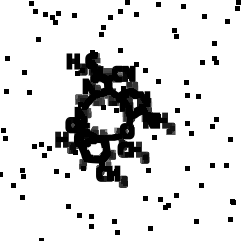 Cc1ccc2c(c1)[C@@H](C)Oc1nc(cnc1N)-c1c(nn(C)c1C#N)CN=S2(C)=O